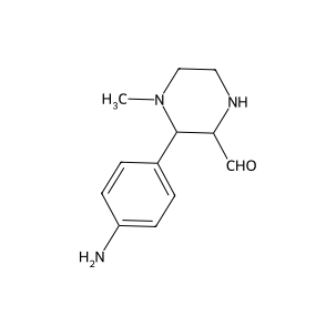 CN1CCNC(C=O)C1c1ccc(N)cc1